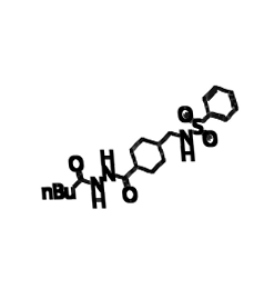 CCCCC(=O)NNC(=O)C1CCC(CNS(=O)(=O)c2ccccc2)CC1